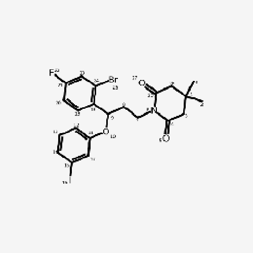 CC1(C)CC(=O)N(CCC(Oc2cccc(I)c2)c2ccc(F)cc2Br)C(=O)C1